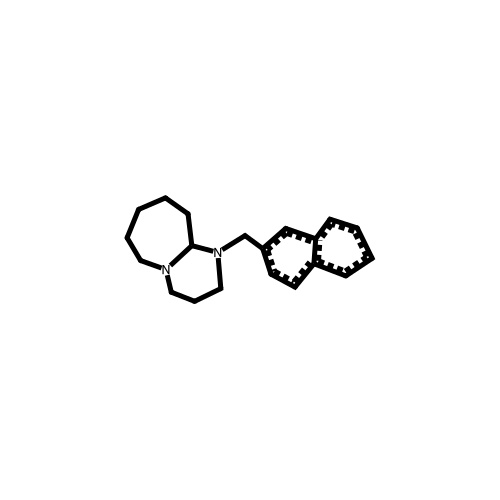 c1ccc2cc(CN3CCCN4CCCCCC43)ccc2c1